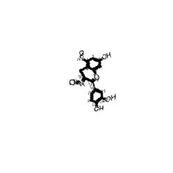 O=Nc1cc(O)cc2c1CC(N=O)[C@H](c1ccc(O)c(O)c1)O2